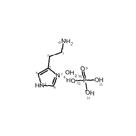 NCCc1c[nH]cn1.O.O=P(O)(O)O